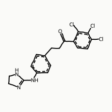 O=C(CCc1ccc(NC2=NCCN2)cc1)c1ccc(Cl)c(Cl)c1Cl